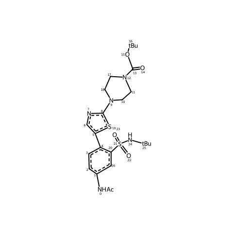 CC(=O)Nc1ccc(-c2cnc(N3CCN(C(=O)OC(C)(C)C)CC3)s2)c(S(=O)(=O)NC(C)(C)C)c1